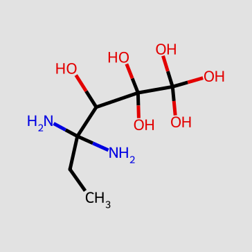 CCC(N)(N)C(O)C(O)(O)C(O)(O)O